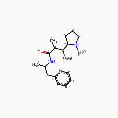 COC(C(C)C(=O)NC(C)Cc1ccccn1)C1CCCN1C=O